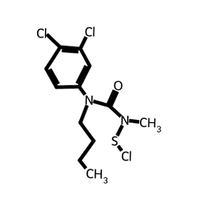 CCCCN(C(=O)N(C)SCl)c1ccc(Cl)c(Cl)c1